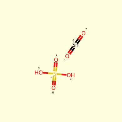 O=S(=O)(O)O.[O]=[Sn]=[O]